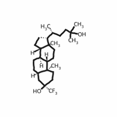 C[C@H](CCC(C)(C)O)[C@H]1CC[C@H]2[C@@H]3CC[C@@H]4C[C@@](O)(C(F)(F)F)CC[C@]4(C)[C@H]3CC[C@]12C